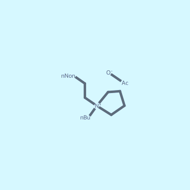 CC(=O)[O-].CCCCCCCCCCC[N+]1(CCCC)CCCC1